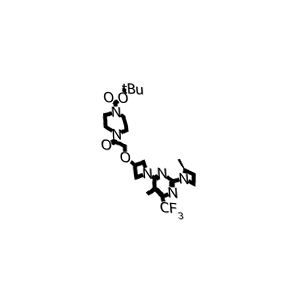 Cc1c(N2CC(OCC(=O)N3CCN(C(=O)OC(C)(C)C)CC3)C2)nc(N2CC[C@@H]2C)nc1C(F)(F)F